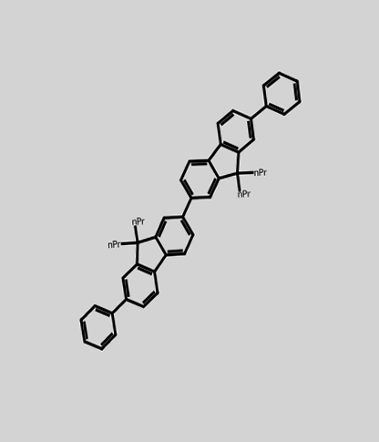 CCCC1(CCC)c2cc(-c3ccccc3)ccc2-c2ccc(-c3ccc4c(c3)C(CCC)(CCC)c3cc(-c5ccccc5)ccc3-4)cc21